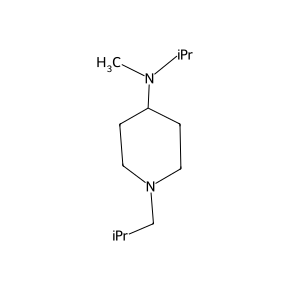 CC(C)CN1CCC(N(C)C(C)C)CC1